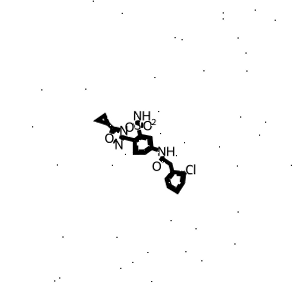 NS(=O)(=O)c1cc(NC(=O)Cc2ccccc2Cl)ccc1-c1noc(C2CC2)n1